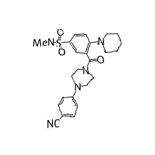 CNS(=O)(=O)c1ccc(N2CCCCC2)c(C(=O)N2CCN(c3ccc(C#N)cc3)CC2)c1